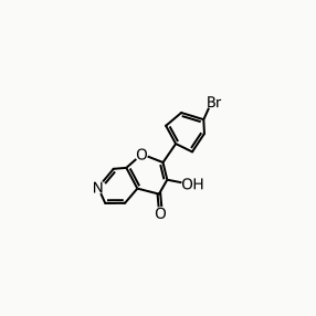 O=c1c(O)c(-c2ccc(Br)cc2)oc2cnccc12